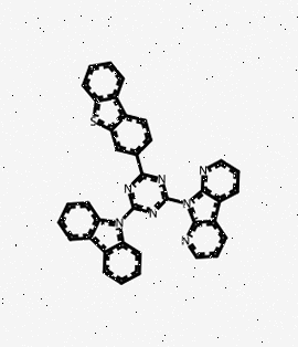 c1ccc2c(c1)sc1cc(-c3nc(-n4c5ccccc5c5ccccc54)nc(-n4c5ncccc5c5cccnc54)n3)ccc12